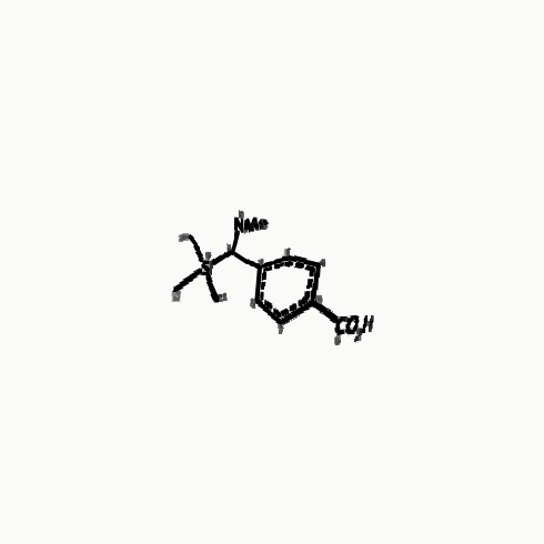 CNC(c1ccc(C(=O)O)cc1)[Si](C)(C)C